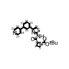 CC(C)(C)OC(=O)N1CC[C@H]1C(=O)Nc1nc(-c2cccc(-c3ccncc3)c2)cs1